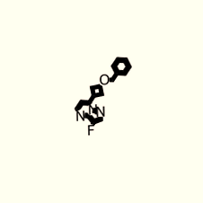 Fc1cnn2c(C3CC(OCc4ccccc4)C3)ccnc12